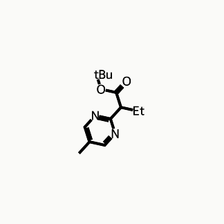 CCC(C(=O)OC(C)(C)C)c1ncc(C)cn1